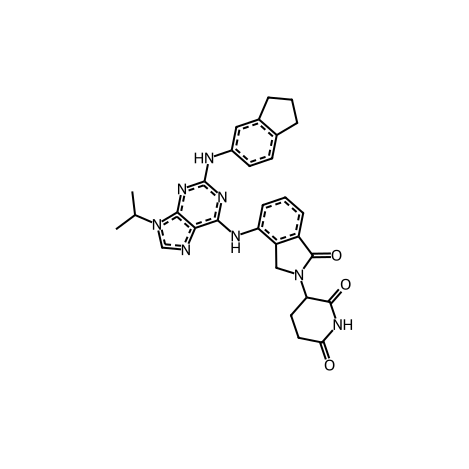 CC(C)n1cnc2c(Nc3cccc4c3CN(C3CCC(=O)NC3=O)C4=O)nc(Nc3ccc4c(c3)CCC4)nc21